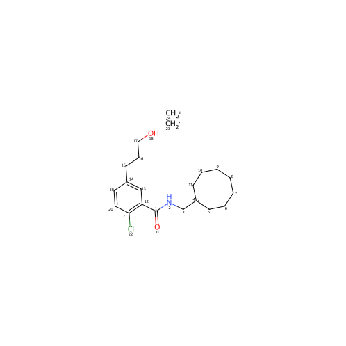 O=C(NC[C]1CCCCCCC1)c1cc(CCCO)ccc1Cl.[CH2].[CH2]